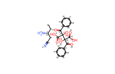 CC[C@H](N)CC#N.O=C(O)C(O)(C(=O)c1ccccc1)C(O)(C(=O)O)C(=O)c1ccccc1